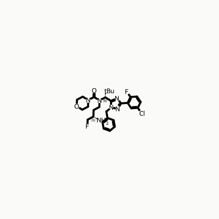 CC(C)(C)[C@H](c1nc(-c2cc(Cl)ccc2F)nn1Cc1ccccc1)N(CC[C@H](N)CF)C(=O)N1CCOCC1